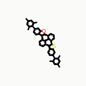 Cc1cc(C)c(-c2ccc3c(c2)oc2c4cccc5c6sc7cc(-c8c(C)cc(C)cc8C)ccc7c6c6cccc(c32)c6c45)c(C)c1